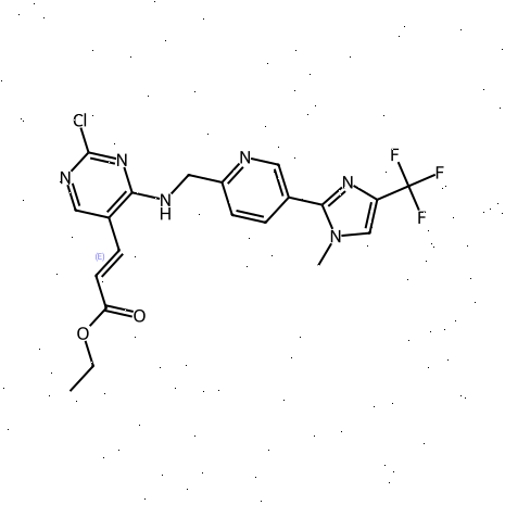 CCOC(=O)/C=C/c1cnc(Cl)nc1NCc1ccc(-c2nc(C(F)(F)F)cn2C)cn1